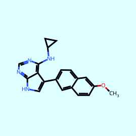 COc1ccc2cc(-c3c[nH]c4ncnc(NC5CC5)c34)ccc2c1